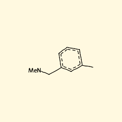 CNCc1cccc(C)c1